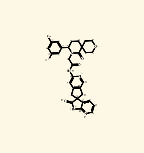 O=C(CN1C(=O)C2(CCOCC2)CCC1c1cc(F)cc(F)c1)Nc1cc2c(cn1)CC1(C2)C(=O)Nc2ncccc21